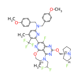 COc1ccc(CN(Cc2ccc(OC)cc2)c2cc(C)c(C(F)(F)F)c(-c3nc4c5c(nc(OC[C@@]67CCCN6C[C@H](F)C7)nc5c3F)N(CC(F)F)[C@@H](C)CO4)n2)cc1